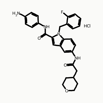 Cl.Nc1ccc(NC(=O)c2cc3cc(NC(=O)CC4CCOCC4)ccc3n2Cc2ccccc2F)cc1